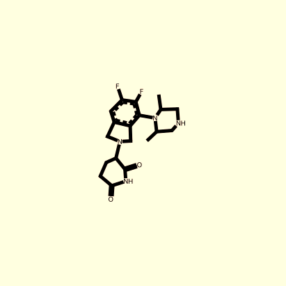 CC1CNCC(C)N1c1c(F)c(F)cc2c1CN(C1CCC(=O)NC1=O)C2